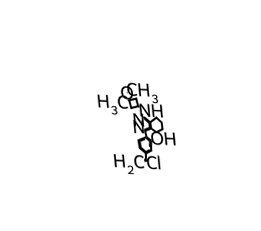 C=C(Cl)c1ccc(-c2nnc(NC3CC(C)(OC)C3)c3c2CCCC3)c(O)c1